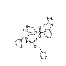 CC(C)CN(C[C@@H](O)[C@H](Cc1ccccc1)NC(=O)OCc1ccccc1)S(=O)(=O)c1cccc2nc(N)sc12